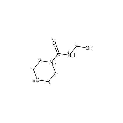 [O]CNC(=O)N1CCOCC1